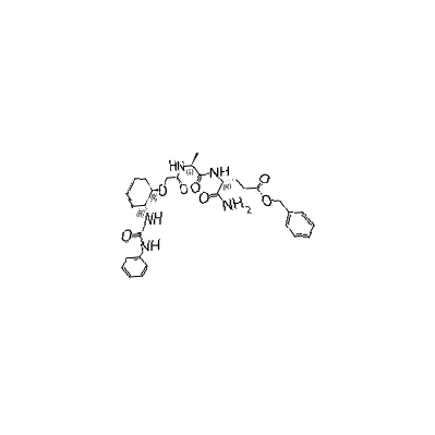 C[C@H](NC(=O)CO[C@@H]1CCCC[C@H]1NC(=O)Nc1ccccc1)C(=O)N[C@H](CCC(=O)OCc1ccccc1)C(N)=O